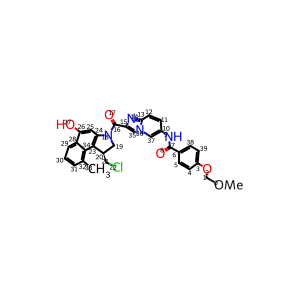 COCOc1ccc(C(=O)Nc2ccc3nc(C(=O)N4C[C@@H](CCl)c5c4cc(O)c4cccc(C)c54)cn3c2)cc1